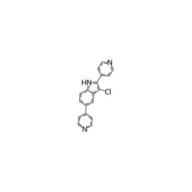 Clc1c(-c2ccncc2)[nH]c2ccc(-c3ccncc3)cc12